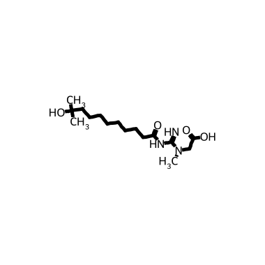 CN(CC(=O)O)C(=N)NC(=O)CCCCCCCCC(C)(C)O